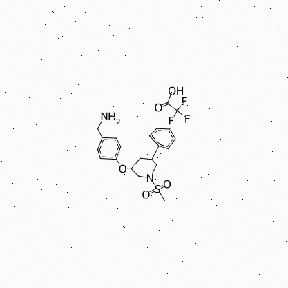 CS(=O)(=O)N1CC(Oc2ccc(CN)cc2)CC(c2ccccc2)C1.O=C(O)C(F)(F)F